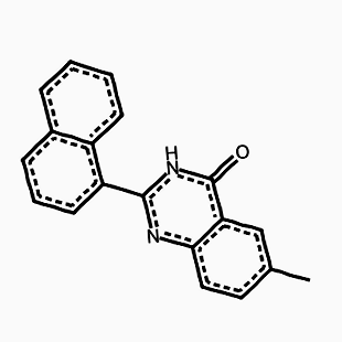 Cc1ccc2nc(-c3cccc4ccccc34)[nH]c(=O)c2c1